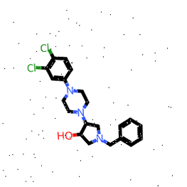 OC1CN(Cc2ccccc2)CC1N1CCN(c2ccc(Cl)c(Cl)c2)CC1